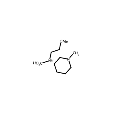 CN1CCCCC1.COCCNC(=O)O